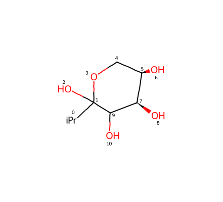 CC(C)C1(O)OC[C@@H](O)[C@@H](O)C1O